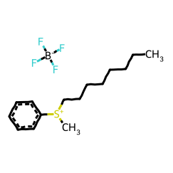 CCCCCCCC[S+](C)c1ccccc1.F[B-](F)(F)F